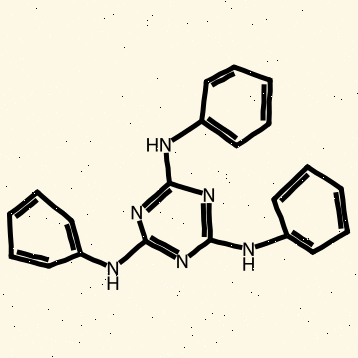 c1ccc(Nc2nc(Nc3ccccc3)nc(Nc3ccccc3)n2)cc1